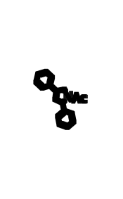 CC(=O)N1CC(c2ccccc2)=CC1c1ccccc1